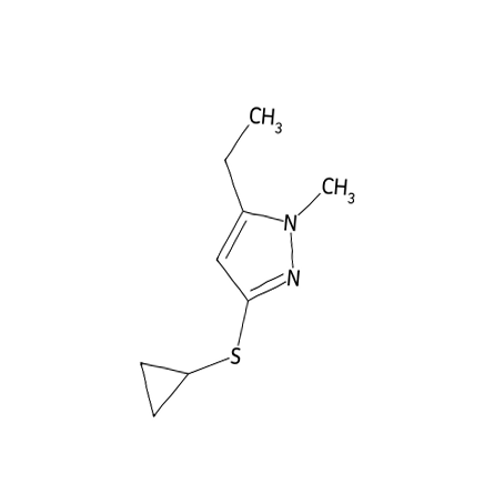 CCc1cc(SC2CC2)nn1C